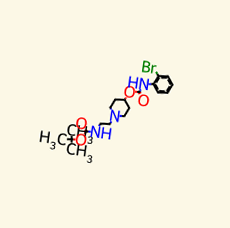 CC(C)(C)OC(=O)NCCN1CCC(OC(=O)Nc2ccccc2Br)CC1